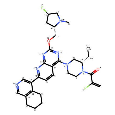 C=C(F)C(=O)N1CCN(c2nc(OC[C@@H]3C[C@@H](F)CN3C)nc3nc(-c4cncc5c4CCCC5)ccc23)C[C@@H]1CC#N